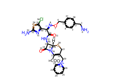 NCc1ccc(CO/N=C(\C(=O)N[C@@H]2C(=O)N3C(C(=O)[O-])=C(C[n+]4ccccc4)CS[C@@H]23)c2nc(N)sc2Cl)cc1